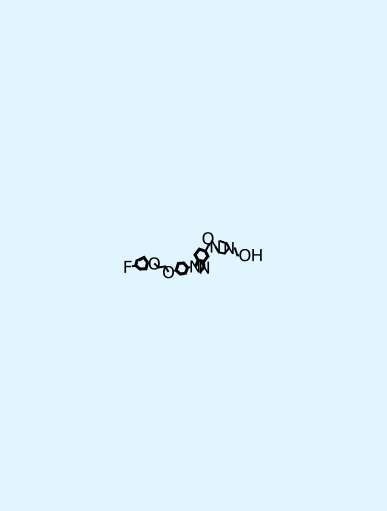 O=C(c1ccc2c(c1)ncn2-c1ccc(OCCOc2ccc(F)cc2)cc1)N1CCN(CCO)CC1